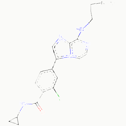 CC(=O)NCCNc1nccn2c(-c3ccc(C(=O)NC4CC4)c(Cl)c3)cnc12